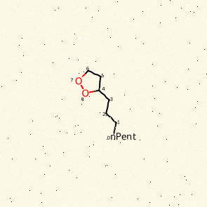 CCCCCC[CH]CC1CCOO1